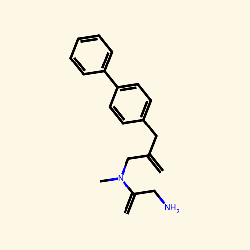 C=C(Cc1ccc(-c2ccccc2)cc1)CN(C)C(=C)CN